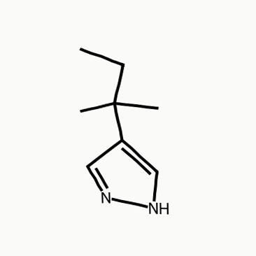 CCC(C)(C)c1cn[nH]c1